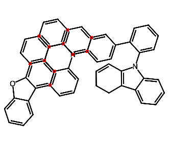 C1=Cc2c(c3ccccc3n2-c2ccccc2-c2ccc(N(c3ccccc3-c3ccc4c(c3)oc3ccccc34)c3ccccc3-c3ccccc3-c3ccccc3)cc2)CC1